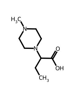 CCC(C(=O)O)N1CCN(C)CC1